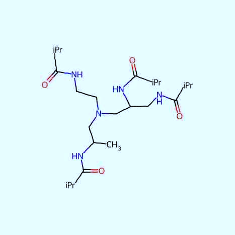 CC(CN(CCNC(=O)C(C)C)CC(CNC(=O)C(C)C)NC(=O)C(C)C)NC(=O)C(C)C